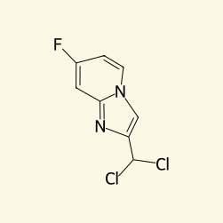 Fc1ccn2cc(C(Cl)Cl)nc2c1